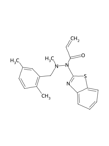 C=CC(=O)N(c1nc2ccccc2s1)N(C)Cc1cc(C)ccc1C